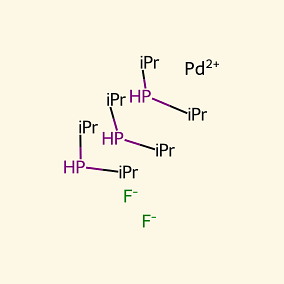 CC(C)PC(C)C.CC(C)PC(C)C.CC(C)PC(C)C.[F-].[F-].[Pd+2]